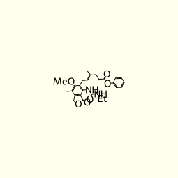 CCNC(=O)Nc1c(C/C=C(\C)CCC(=O)Oc2ccccc2)c(OC)c(C)c2c1C(=O)OC2